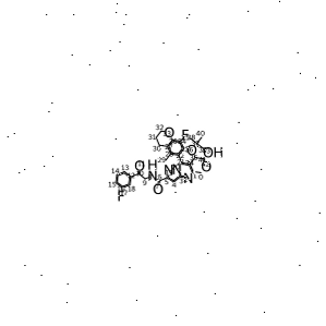 Cc1nc2cc(C(=O)NCC(=O)c3cccc(F)c3)nn2c(-c2cc(F)c3c(c2C)CCCO3)c1C(OC(C)(C)C)C(=O)O